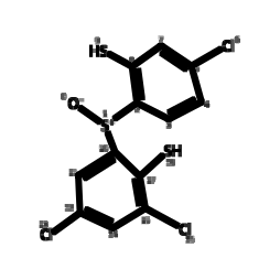 [O-][S+](c1ccc(Cl)cc1S)c1cc(Cl)cc(Cl)c1S